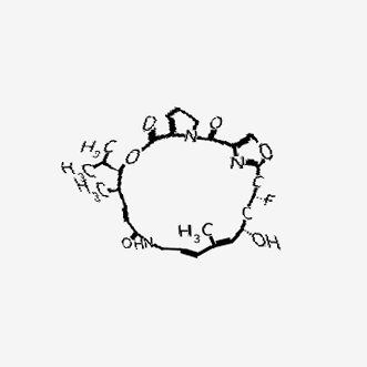 CC1=C\[C@@H](O)C[C@@H](F)Cc2nc(co2)C(=O)N2CCC=C2C(=O)O[C@H](C(C)C)[C@H](C)/C=C/C(=O)NC\C=C\1